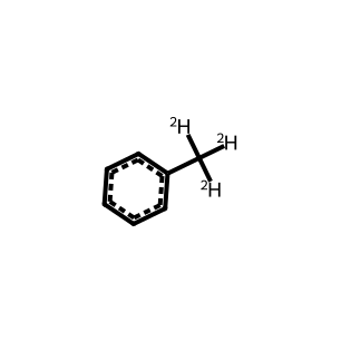 [2H]C([2H])([2H])c1ccccc1